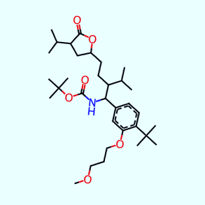 COCCCOc1cc(C(NC(=O)OC(C)(C)C)C(CCC2CC(C(C)C)C(=O)O2)C(C)C)ccc1C(C)(C)C